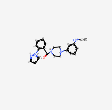 O=CNc1cccc(N2CCN(C(=O)c3ccccc3-n3cccn3)CC2)c1